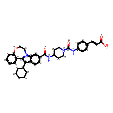 O=C(O)C=Cc1ccc(NC(=O)N2CCC(NC(=O)c3ccc4c(C5CCCCC5)c5n(c4c3)CCOc3ccccc3-5)CC2)cc1